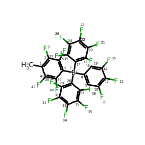 Cc1c(F)c(F)c([B-](c2cc(F)c(F)c(F)c2)(c2c(F)c(F)c(F)c(F)c2F)c2c(F)c(F)c(F)c(F)c2F)c(F)c1F